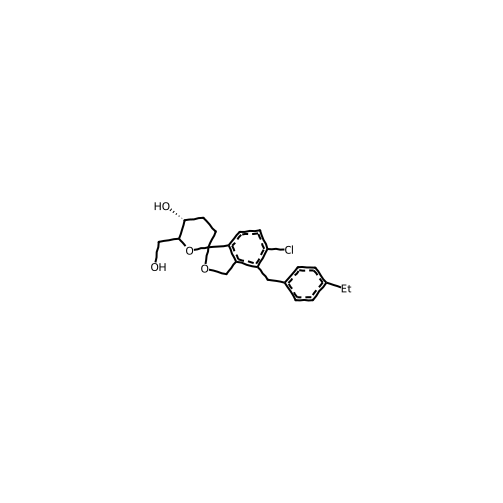 CCc1ccc(Cc2c(Cl)ccc3c2COC32CC[C@@H](O)C(CO)O2)cc1